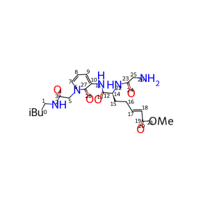 CCC(C)CNC(=O)Cn1cccc(NC(=O)[C@H](CC/C=C/C(=O)OC)NC(=O)CN)c1=O